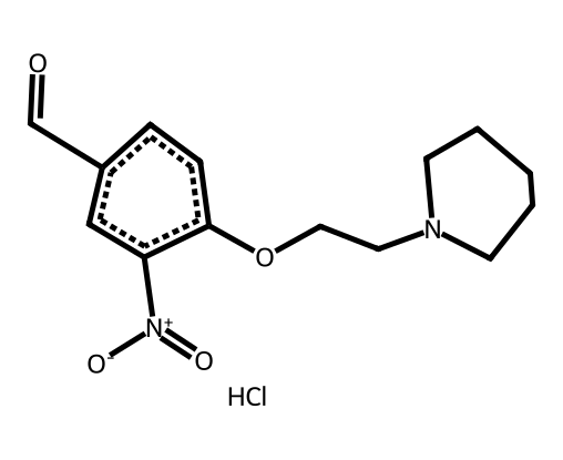 Cl.O=Cc1ccc(OCCN2CCCCC2)c([N+](=O)[O-])c1